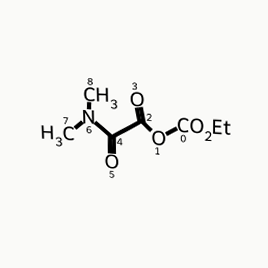 CCOC(=O)OC(=O)C(=O)N(C)C